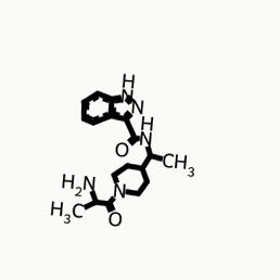 CC(N)C(=O)N1CCC(C(C)NC(=O)c2n[nH]c3ccccc23)CC1